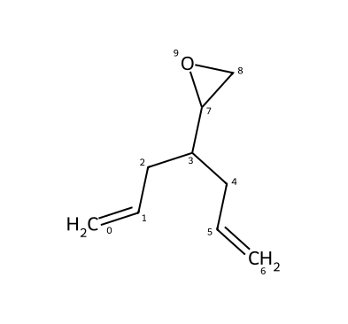 C=CCC(CC=C)C1CO1